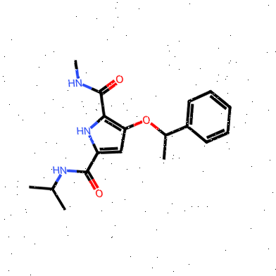 CNC(=O)c1[nH]c(C(=O)NC(C)C)cc1OC(C)c1ccccc1